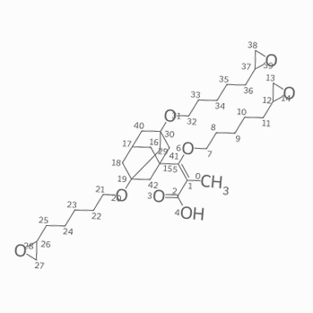 CC(C(=O)O)=C(OCCCCCC1CO1)C12CC3CC(OCCCCCC4CO4)(CC(OCCCCCC4CO4)(C3)C1)C2